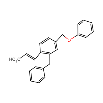 O=C(O)/C=C/c1ccc(COc2ccccc2)cc1Cc1ccccc1